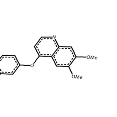 COc1cc2nccc(Oc3cccc([N+](=O)[O-])c3)c2cc1OC